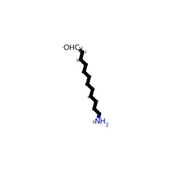 NCCCCCCCCCCC[C]=O